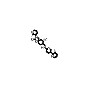 Cl.O=C1OC2(CCC(CNc3ccc(-c4ncccc4F)cn3)CC2)CN1c1cccnc1F